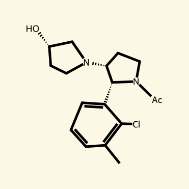 CC(=O)N1CC[C@@H](N2CC[C@H](O)C2)[C@H]1c1cccc(C)c1Cl